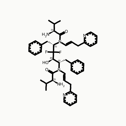 CC(C)[C@H](N)C(=O)N(C=CCc1ccccn1)[C@@H](Cc1ccccc1)C(F)(F)[C@H](O)[C@H](Cc1ccccc1)N(C=CCc1ccccn1)C(=O)[C@@H](N)C(C)C